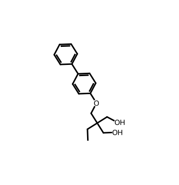 CCC(CO)(CO)COc1ccc(-c2ccccc2)cc1